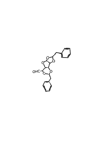 O=CC1OC(Cc2ccccc2)OC2C1OC1OC(Cc3ccccc3)OC12